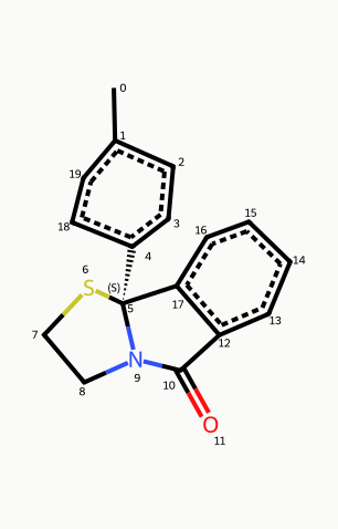 Cc1ccc([C@@]23SCCN2C(=O)c2ccccc23)cc1